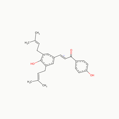 CC(C)=CCc1cc(/C=C/C(=O)c2ccc(O)cc2)cc(CC=C(C)C)c1O